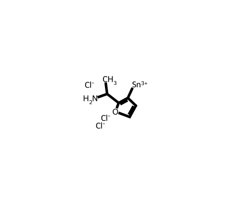 CC(N)c1occ[c]1[Sn+3].[Cl-].[Cl-].[Cl-]